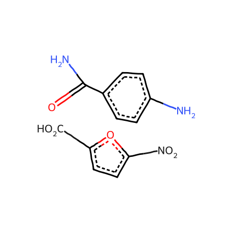 NC(=O)c1ccc(N)cc1.O=C(O)c1ccc([N+](=O)[O-])o1